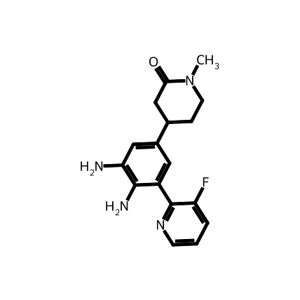 CN1CCC(c2cc(N)c(N)c(-c3ncccc3F)c2)CC1=O